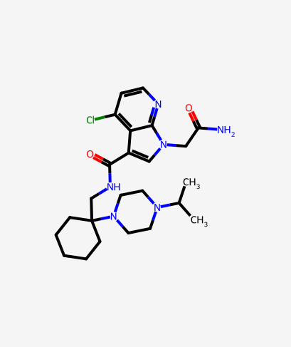 CC(C)N1CCN(C2(CNC(=O)c3cn(CC(N)=O)c4nccc(Cl)c34)CCCCC2)CC1